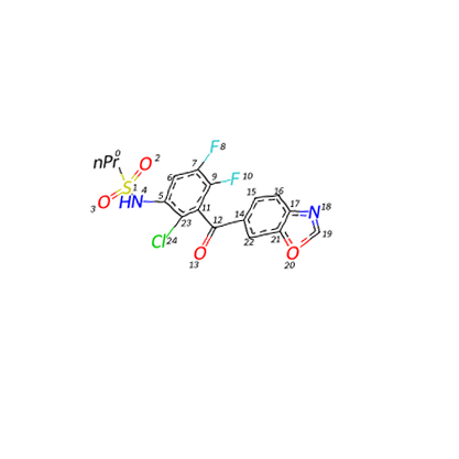 CCCS(=O)(=O)Nc1cc(F)c(F)c(C(=O)c2ccc3ncoc3c2)c1Cl